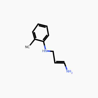 N#Cc1ccccc1NCC=CN